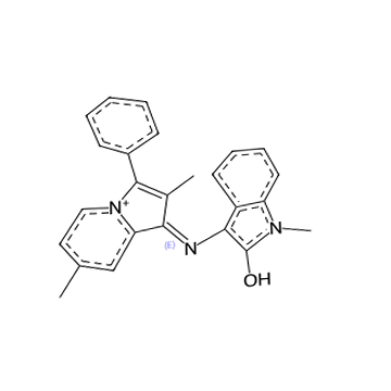 CC1=C(c2ccccc2)[n+]2ccc(C)cc2/C1=N/c1c(O)n(C)c2ccccc12